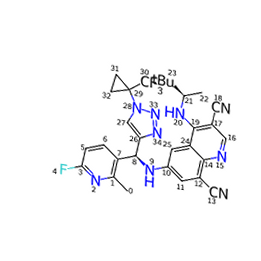 Cc1nc(F)ccc1[C@H](Nc1cc(C#N)c2ncc(C#N)c(N[C@H](C)C(C)(C)C)c2c1)c1cn(C2(C(F)(F)F)CC2)nn1